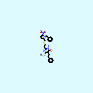 Cc1nc(CCSCc2ccc([N+](=O)[O-])n2Cc2ccccc2)[nH]c(=O)c1CCc1ccccc1